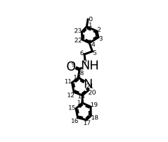 Cc1ccc(CCNC(=O)c2ccc(-c3ccccc3)cn2)cc1